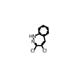 ClC1=Cc2ccccc2NN=C1Cl